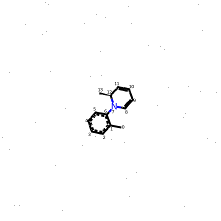 Cc1ccccc1N1C=CC=C[C@@H]1C